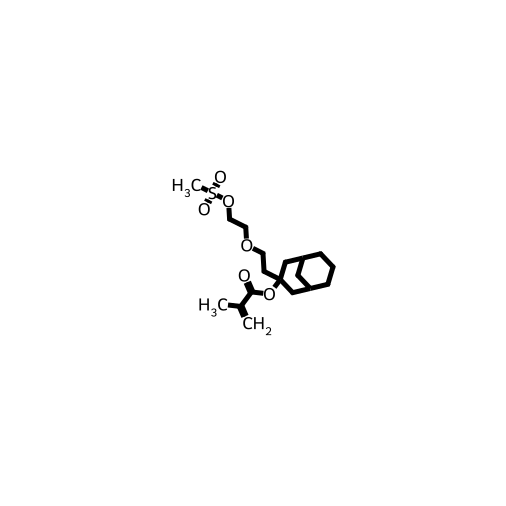 C=C(C)C(=O)OC1(CCOCCOS(C)(=O)=O)CC2CCCC(C2)C1